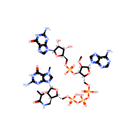 CO[C@@H]1[C@H](OP(=O)([O-])OC[C@H]2O[C@@H](n3cnc4c(=O)[nH]c(N)nc43)[C@H](O)[C@@H]2O)[C@@H](COP(=O)(O)OP(=O)(O)OP(=O)(O)OC[C@H]2O[C@@H](n3c[n+](C)c4c(=O)[nH]c(N)nc43)[C@H](O)[C@@H]2CNC(=O)C(C)C)O[C@H]1n1cnc2c(N)ncnc21